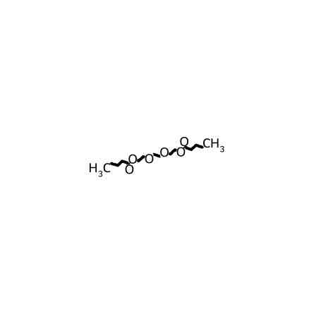 CCCCC(=O)OCCOCCOCCOC(=O)CCCC